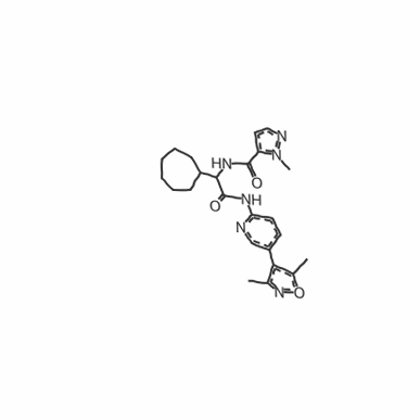 Cc1noc(C)c1-c1ccc(NC(=O)C(NC(=O)c2ccnn2C)C2CCCCCC2)nc1